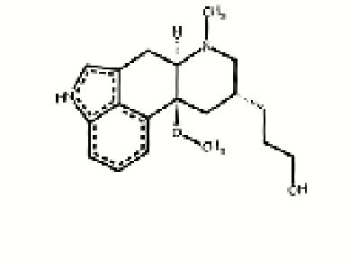 CO[C@]12C[C@@H](CCCO)CN(C)[C@@H]1Cc1c[nH]c3cccc2c13